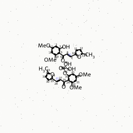 COc1cc(O)c(C(=O)/C=C/c2ccc(C)o2)c(OC)c1.COc1cc(OC)c(C(=O)/C=C/c2ccc(C)o2)c(OP(=O)(O)O)c1